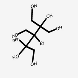 CCCC(O)(CO)C(CC)(CO)C(O)(CO)CO